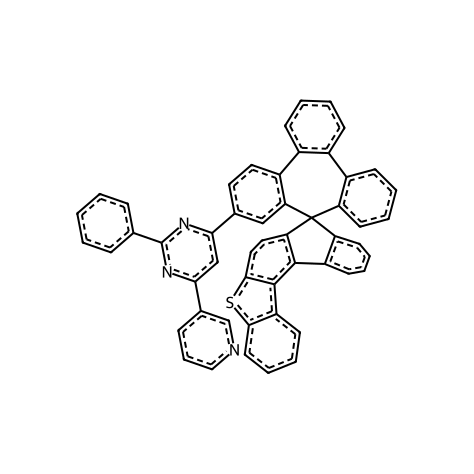 c1ccc(-c2nc(-c3cccnc3)cc(-c3ccc4c(c3)C3(c5ccccc5-c5ccccc5-4)c4ccccc4-c4c3ccc3sc5ccccc5c43)n2)cc1